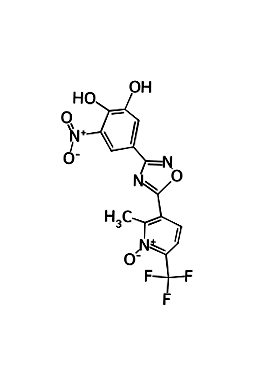 Cc1c(-c2nc(-c3cc(O)c(O)c([N+](=O)[O-])c3)no2)ccc(C(F)(F)F)[n+]1[O-]